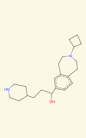 OC(CCC1CCNCC1)c1ccc2c(c1)CCN(C1CCC1)CC2